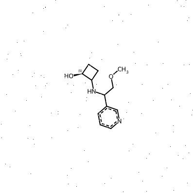 COCC(NC1CC[C@@H]1O)c1cccnc1